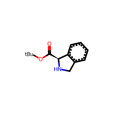 CC(C)(C)OC(=O)[C@@H]1NCc2ccccc21